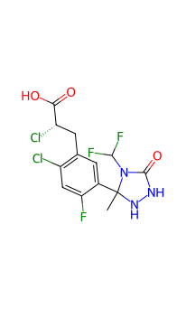 CC1(c2cc(C[C@H](Cl)C(=O)O)c(Cl)cc2F)NNC(=O)N1C(F)F